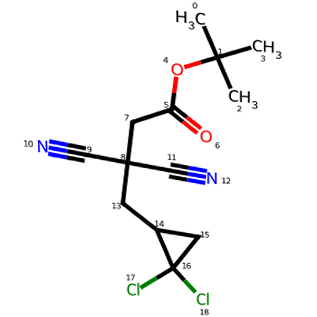 CC(C)(C)OC(=O)CC(C#N)(C#N)CC1CC1(Cl)Cl